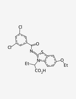 CCOc1ccc2c(c1)sc(=NC(=O)c1cc(Cl)cc(Cl)c1)n2C(CC)C(=O)O